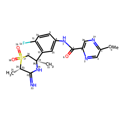 COc1cnc(C(=O)Nc2ccc(F)c([C@]3(C)CS(=O)(=O)[C@@H](C)C(=N)N3)c2)cn1